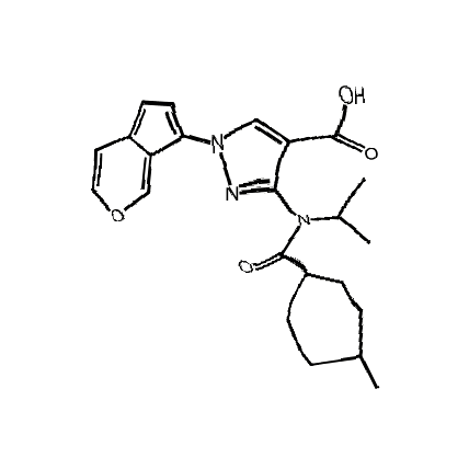 CC1CCC(C(=O)N(c2nn(-c3ccc4ccocc3-4)cc2C(=O)O)C(C)C)CC1